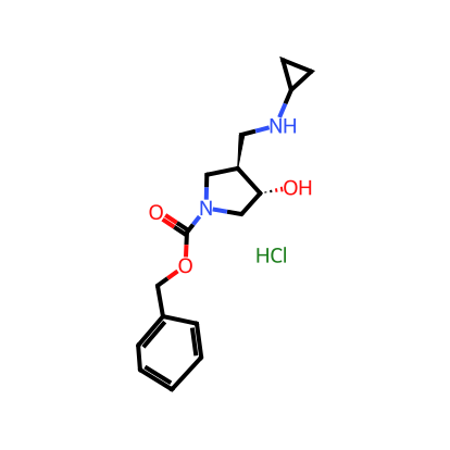 Cl.O=C(OCc1ccccc1)N1C[C@@H](CNC2CC2)[C@H](O)C1